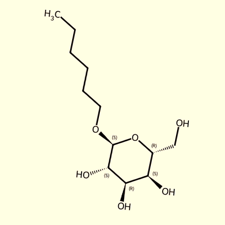 CCCCCCO[C@H]1O[C@H](CO)[C@@H](O)[C@@H](O)[C@@H]1O